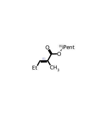 CC/C=C(\C)C(=O)O[C@@H](C)CCC